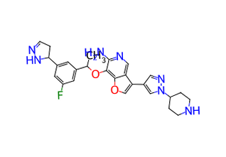 CC(Oc1c(N)ncc2c(-c3cnn(C4CCNCC4)c3)coc12)c1cc(F)cc(C2CC=NN2)c1